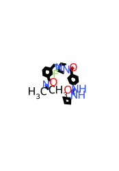 CC(C)=NC(=O)c1cccc(CN2CCN(C(=O)c3ccc(NC(=O)NC4CCC4)cc3)CC2)c1F